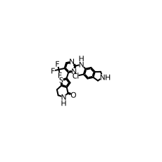 O=C1NCCc2sc(-c3nc(Nc4cc5c(cc4Cl)CNC5)ncc3C(F)(F)F)cc21